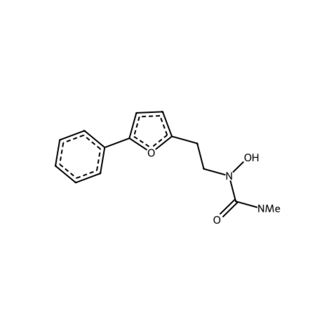 CNC(=O)N(O)CCc1ccc(-c2ccccc2)o1